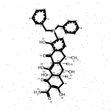 C[C@H]1c2ccc(N(Cc3ccccc3)Cc3ccccc3)c(O)c2C(=O)C2=C(O)[C@]3(O)C(=O)C(C(N)=O)=C(O)C[C@@H]3[C@@H](O)[C@@H]21